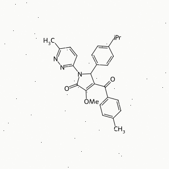 COC1=C(C(=O)c2ccc(C)cc2)C(c2ccc(C(C)C)cc2)N(c2ccc(C)nn2)C1=O